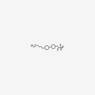 CCCCCC1CCC(C2CCC(CC(F)C(F)(F)F)CC2)CC1